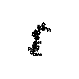 COC(=O)N[C@H](C(=O)N1CCC[C@H]1c1ncc(-c2ccc(-c3ccc(-c4cnc([C@@H]5CCCN5C(=O)CC(C)C)[nH]4)c4c3C3(CCCC3)CC4)cc2)[nH]1)C(C)C